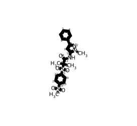 Cn1nc(-c2ccccc2)cc1NC(=O)C(C)(C)S(=O)(=O)c1ccc(S(C)(=O)=O)cc1